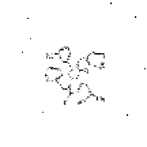 N#Cc1ccc(C(=O)N(Cc2ccccc2)C(COc2cccc(C#N)c2)CC(=O)OCc2ccccc2)cc1